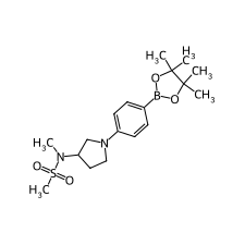 CN(C1CCN(c2ccc(B3OC(C)(C)C(C)(C)O3)cc2)C1)S(C)(=O)=O